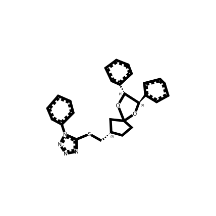 c1ccc([C@H]2OC3(CC[C@H](CSc4nnnn4-c4ccccc4)C3)O[C@@H]2c2ccccc2)cc1